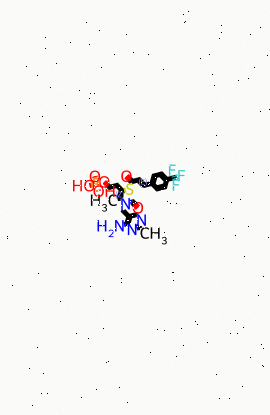 C/C(=C(\CCOP(=O)(O)O)SC(=O)/C=C/c1ccc(C(F)(F)F)cc1)N(C=O)Cc1cnc(C)nc1N